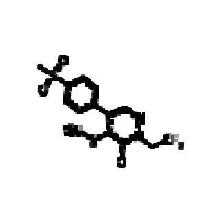 CC(C)(C)Sc1c(-c2ccc(S(C)(=O)=O)cc2)cnn(CC(F)(F)F)c1=O